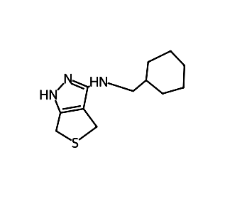 C1CCC(CNc2n[nH]c3c2CSC3)CC1